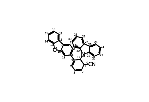 N#CC1C=CC=C(c2ccc3c(c2)oc2ccccc23)C1n1c2ccccc2c2ccccc21